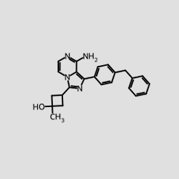 CC1(O)CC(c2nc(-c3ccc(Cc4ccccc4)cc3)c3c(N)nccn23)C1